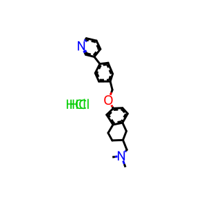 CN(C)CC1CCc2cc(OCc3ccc(-c4cccnc4)cc3)ccc2C1.Cl.Cl